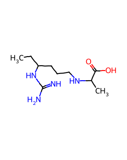 CCC(CCCNC(C)C(=O)O)NC(=N)N